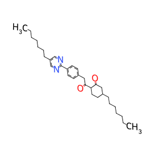 CCCCCCCc1cnc(-c2ccc(CC(=O)C3CCC(CCCCCCC)CC3=O)cc2)nc1